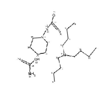 CCCCN(CCCC)CCCC.NC(O)=S.OC(=S)NN1CCCCC1